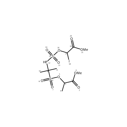 COC(=O)C(C)OS(=O)(=O)C(C)(C)PS(=O)(=O)OC(I)C(=O)OC